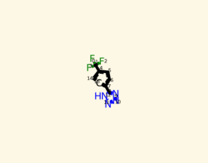 FC(F)(F)c1ccc(-c2nnn[nH]2)cc1